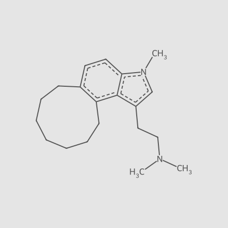 CN(C)CCc1cn(C)c2ccc3c(c12)CCCCCCC3